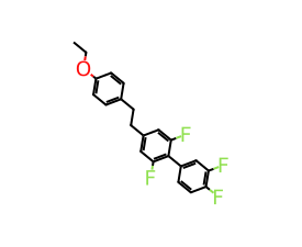 CCOc1ccc(CCc2cc(F)c(-c3ccc(F)c(F)c3)c(F)c2)cc1